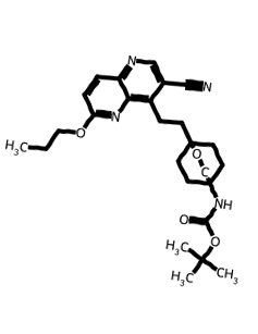 CCCOc1ccc2ncc(C#N)c(CCC34CCC(NC(=O)OC(C)(C)C)(CC3)CO4)c2n1